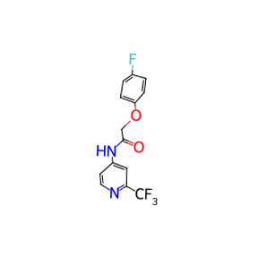 O=C(COc1ccc(F)cc1)Nc1ccnc(C(F)(F)F)c1